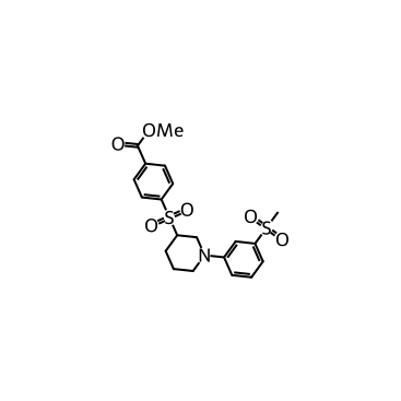 COC(=O)c1ccc(S(=O)(=O)C2CCCN(c3cccc(S(C)(=O)=O)c3)C2)cc1